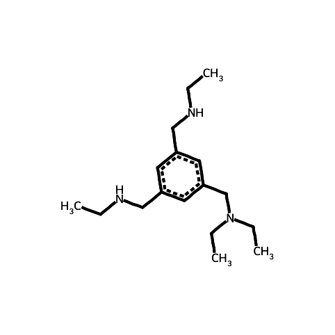 CCNCc1cc(CNCC)cc(CN(CC)CC)c1